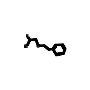 FC(Cl)COCCc1ccccc1